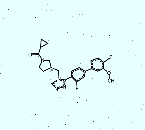 COc1cc(-c2ccc(-c3nncn3C[C@H]3CCN(C(=O)C4CC4)C3)c(F)c2)ccc1F